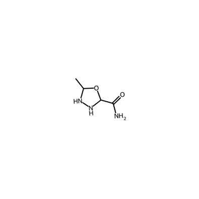 CC1NNC(C(N)=O)O1